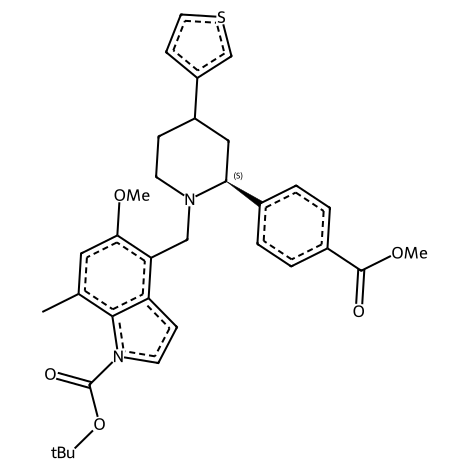 COC(=O)c1ccc([C@@H]2CC(c3ccsc3)CCN2Cc2c(OC)cc(C)c3c2ccn3C(=O)OC(C)(C)C)cc1